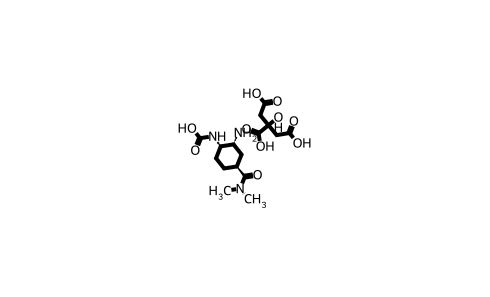 CN(C)C(=O)[C@H]1CC[C@H](NC(=O)O)[C@H](N)C1.O=C(O)CC(O)(CC(=O)O)C(=O)O